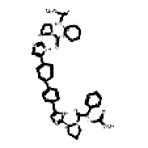 COC(=O)N[C@H](C(=O)N1CCC[C@H]1c1ncc(-c2ccc(-c3ccc(-c4cnc([C@@H]5CCCN5C(=O)[C@H]5CCCC[C@H]5NC(=O)OC)[nH]4)cc3)cc2)[nH]1)c1ccccc1